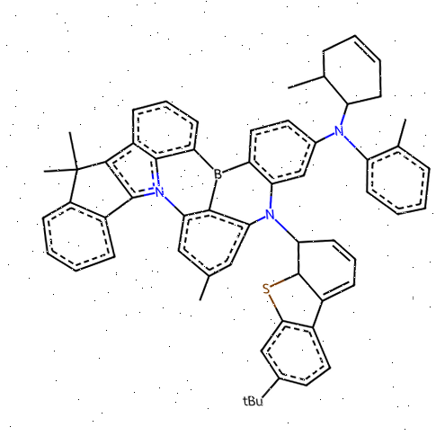 Cc1cc2c3c(c1)-n1c4c(c5cccc(c51)B3c1ccc(N(c3ccccc3C)C3CC=CCC3C)cc1N2C1C=CC=C2c3ccc(C(C)(C)C)cc3SC21)C(C)(C)c1ccccc1-4